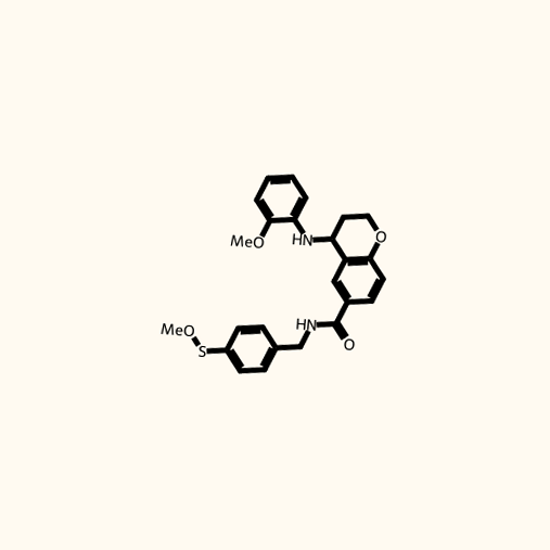 COSc1ccc(CNC(=O)c2ccc3c(c2)C(Nc2ccccc2OC)CCO3)cc1